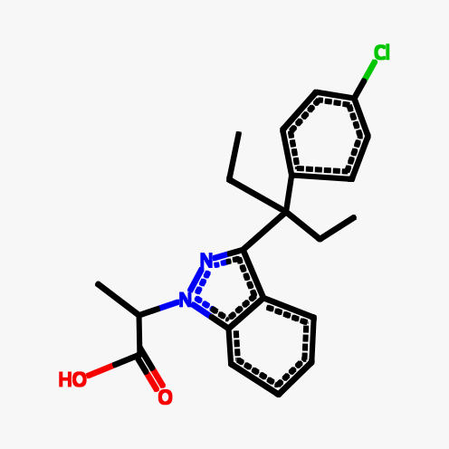 CCC(CC)(c1ccc(Cl)cc1)c1nn(C(C)C(=O)O)c2ccccc12